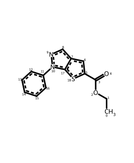 CCOC(=O)c1cc2cnn(-c3ccccc3)c2s1